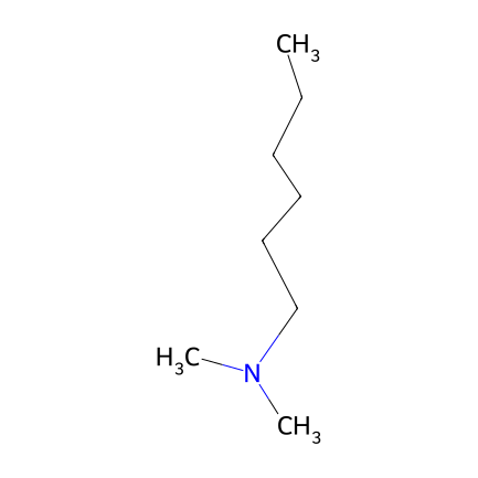 CCCCCCN(C)C